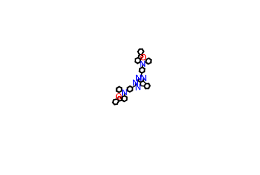 c1ccc(N(c2ccc(-c3nc4c5c(nc(-c6ccc(N(c7ccccc7)c7cccc8c7oc7ccccc78)cc6)nc5n3)-c3ccccc3-4)cc2)c2cccc3c2oc2ccccc23)cc1